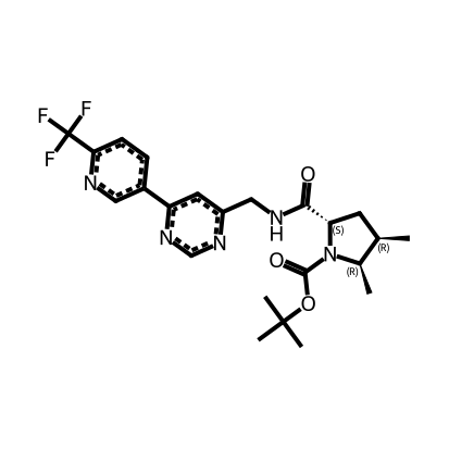 C[C@@H]1C[C@@H](C(=O)NCc2cc(-c3ccc(C(F)(F)F)nc3)ncn2)N(C(=O)OC(C)(C)C)[C@@H]1C